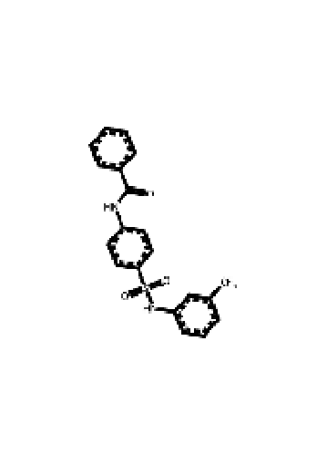 O=C(Nc1ccc(S(=O)(=O)Nc2cccc(C(F)(F)F)c2)cc1)c1ccccc1